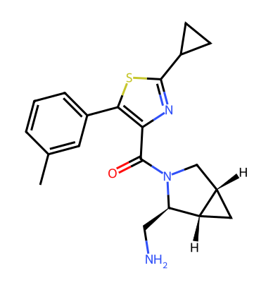 Cc1cccc(-c2sc(C3CC3)nc2C(=O)N2C[C@@H]3C[C@@H]3[C@H]2CN)c1